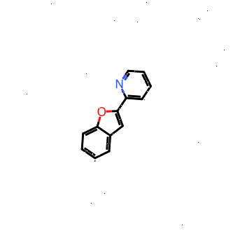 [c]1ccc2oc(-c3ccccn3)cc2c1